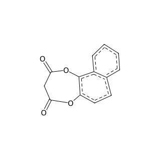 O=C1CC(=O)Oc2c(ccc3ccccc23)O1